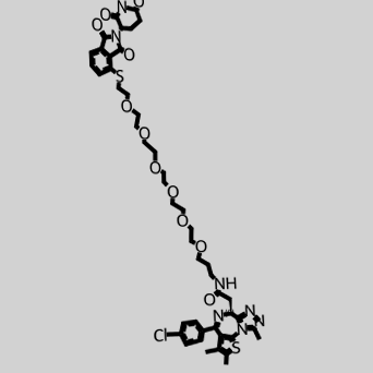 Cc1sc2c(c1C)C(c1ccc(Cl)cc1)=N[C@@H](CC(=O)NCCCOCCOCCOCCOCCOCCOCCSc1cccc3c1C(=O)N(C1CCC(=O)NC1=O)C3=O)c1nnc(C)n1-2